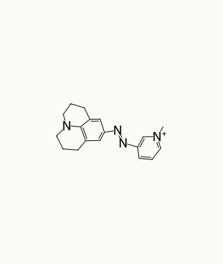 C[n+]1cccc(/N=N/c2cc3c4c(c2)CCCN4CCC3)c1